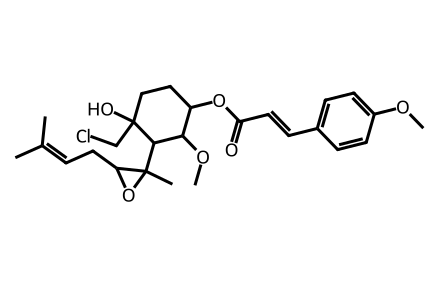 COc1ccc(/C=C/C(=O)OC2CCC(O)(CCl)C(C3(C)OC3CC=C(C)C)C2OC)cc1